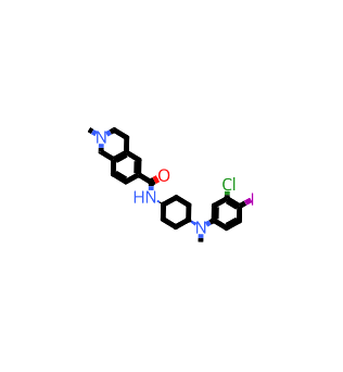 CN1CCc2cc(C(=O)N[C@H]3CC[C@H](N(C)c4ccc(I)c(Cl)c4)CC3)ccc2C1